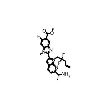 C=CCC(F)(F)Cn1c(-c2nc3cc(C(=O)OC)c(F)cc3n2C)cc2ccc([C@@H](C)N)nc21